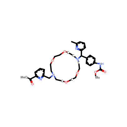 COC(=O)c1cccc(CN2CCOCCOCCN(C(c3ccc(NC(=O)OC(C)(C)C)cc3)c3cccc(C)n3)CCOCCOCC2)n1